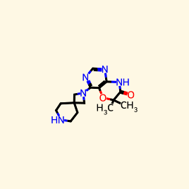 CC1(C)Oc2c(ncnc2N2CC3(CCNCC3)C2)NC1=O